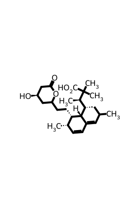 CC1C=C2C=C[C@H](C)[C@H](CCC3C[C@@H](O)CC(=O)O3)[C@@H]2[C@H]([C@@H](C)C(C)(C)C(=O)O)C1